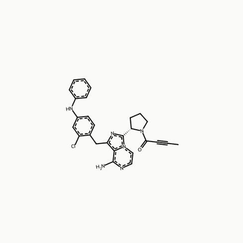 CC#CC(=O)N1CCC[C@H]1c1nc(Cc2ccc(Nc3ccccc3)cc2Cl)c2c(N)nccn12